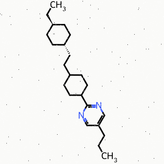 CCCc1cnc(C2CCC(CC[C@H]3CC[C@H](CC)CC3)CC2)nc1